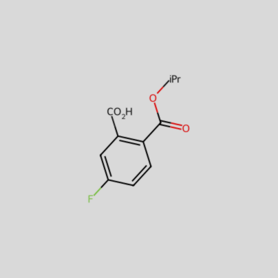 CC(C)OC(=O)c1ccc(F)cc1C(=O)O